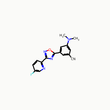 CN(C)c1cc(C#N)cc(-c2nc(-c3ccc(F)cn3)no2)c1